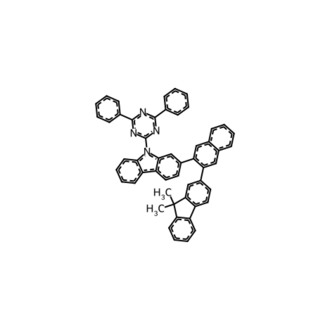 CC1(C)c2ccccc2-c2ccc(-c3cc4ccccc4cc3-c3ccc4c5ccccc5n(-c5nc(-c6ccccc6)nc(-c6ccccc6)n5)c4c3)cc21